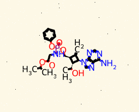 C=C1[C@@H](n2cnc3c(N)ncnc32)[C@H](C(C)O)[C@H]1COP(=O)(NCC(=O)OC(C)C)Oc1ccccc1